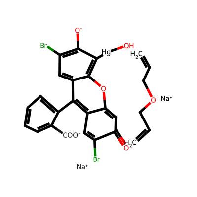 C=CCOCC=C.O=C([O-])c1ccccc1-c1c2cc(Br)c(=O)cc-2oc2[c]([Hg][OH])c([O-])c(Br)cc12.[Na+].[Na+]